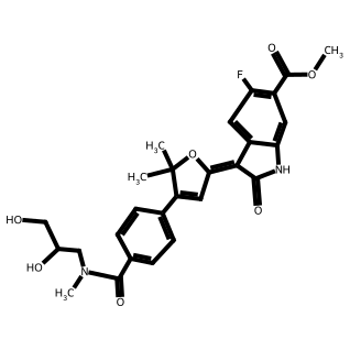 COC(=O)c1cc2c(cc1F)/C(=C1/C=C(c3ccc(C(=O)N(C)CC(O)CO)cc3)C(C)(C)O1)C(=O)N2